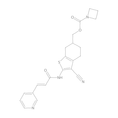 N#Cc1c(NC(=O)C=Cc2cccnc2)sc2c1CCC(COC(=O)N1CCC1)C2